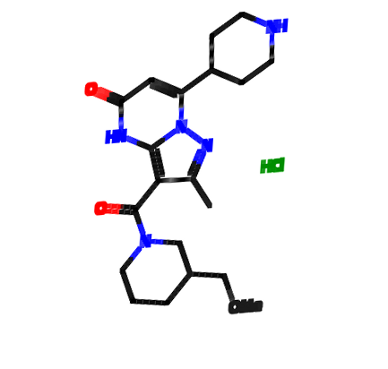 COCC1CCCN(C(=O)c2c(C)nn3c(C4CCNCC4)cc(=O)[nH]c23)C1.Cl